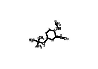 CC(C)(C)O[C@H]1CC[C@H](NN)C(=C=O)C1